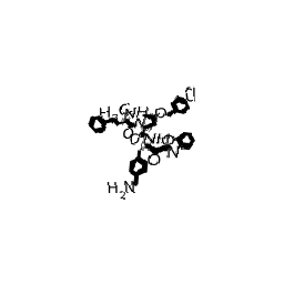 CN[C@H](CCc1ccccc1)C(=O)N1C[C@H](OCc2ccc(Cl)cc2)C[C@H]1C(=O)N[C@@H](Cc1ccc(CN)cc1)C(=O)c1nc2ccccc2o1